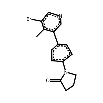 Cc1c(Br)cncc1-c1ccc(N2CCCC2=O)cc1